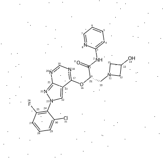 O=C(Nc1ccccn1)[C@H](CN1CC(O)C1)Oc1ncnc2nn(-c3c(F)cccc3Cl)cc12